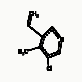 C=Cc1cncc(Cl)c1C